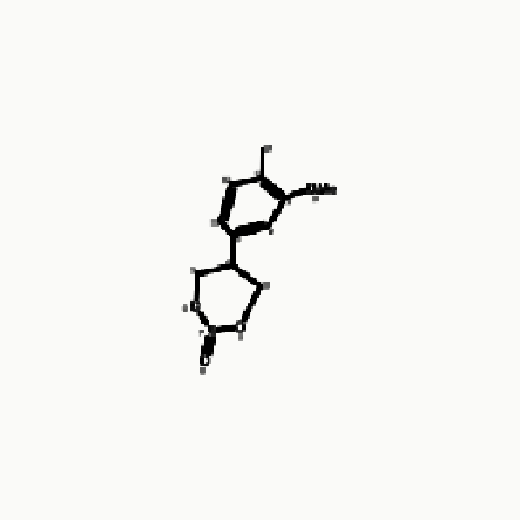 COc1cc(C2COS(=O)OC2)ccc1C